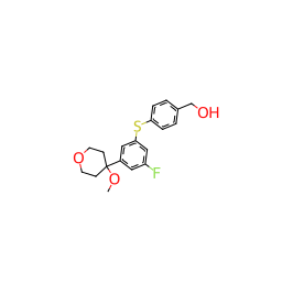 COC1(c2cc(F)cc(Sc3ccc(CO)cc3)c2)CCOCC1